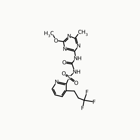 COc1nc(C)nc(NC(=O)NS(=O)(=O)c2ncccc2CCC(F)(F)F)n1